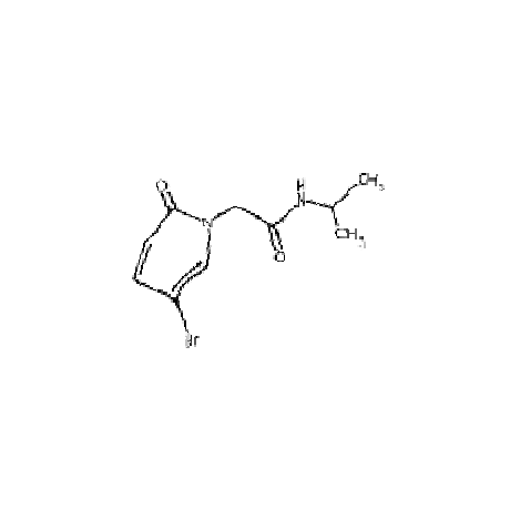 CC(C)NC(=O)Cn1cc(Br)ccc1=O